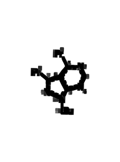 CC(C)c1ncnc2c1c(C(C)C)nn2C(C)(C)C